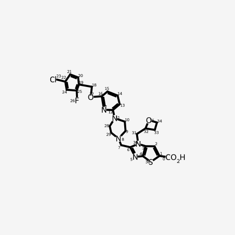 O=C(O)c1cc2c(nc(CN3CCN(c4cccc(OCc5ccc(Cl)cc5F)n4)CC3)n2CC2CCO2)s1